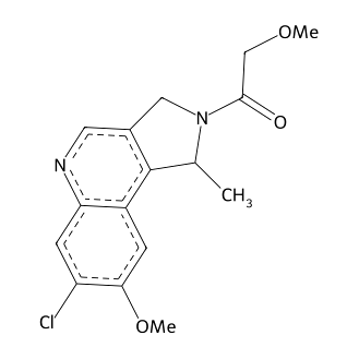 COCC(=O)N1Cc2cnc3cc(Cl)c(OC)cc3c2C1C